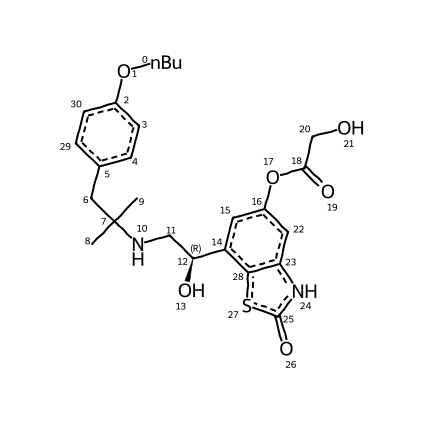 CCCCOc1ccc(CC(C)(C)NC[C@H](O)c2cc(OC(=O)CO)cc3[nH]c(=O)sc23)cc1